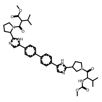 COC(=O)NC(C(=O)N1CCC(c2ncc(-c3ccc(-c4ccc(-c5cnc(C6CCCN6C(=O)C(C(=O)OC)C(C)C)[nH]5)cc4)cc3)[nH]2)C1)C(C)C